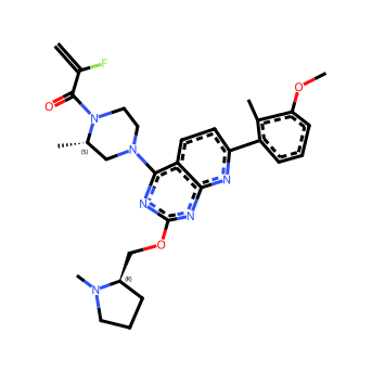 C=C(F)C(=O)N1CCN(c2nc(OC[C@H]3CCCN3C)nc3nc(-c4cccc(OC)c4C)ccc23)C[C@@H]1C